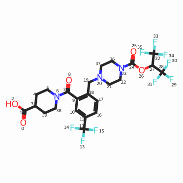 O=C(O)C1CCN(C(=O)c2cc(C(F)(F)F)ccc2CN2CCN(C(=O)OC(C(F)(F)F)C(F)(F)F)CC2)CC1